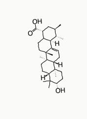 C[C@H]1[C@H](C)C[C@@H](C(=O)O)C2CC[C@]3(C)C(=CC[C@@H]4[C@@]5(C)CC[C@H](O)C(C)(C)[C@@H]5CC[C@]43C)[C@@H]21